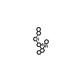 c1cc(-c2ccc3ccccc3c2)nc(-c2ccc3c4c5ccccc5ccc4c4nc5ccccc5n4c3c2)c1